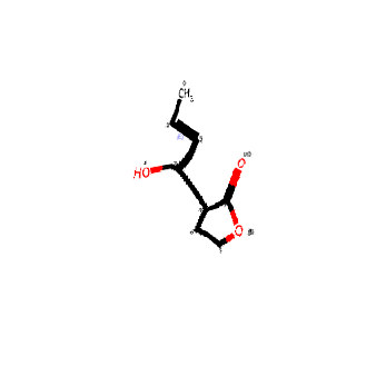 C/C=C/C(O)C1CCOC1=O